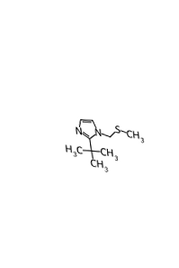 CSCn1ccnc1C(C)(C)C